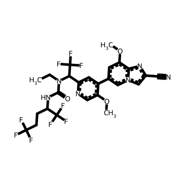 CCN(C(=O)NC(CCC(F)(F)F)C(F)(F)F)C(c1cc(-c2cc(OC)c3nc(C#N)cn3c2)c(OC)cn1)C(F)(F)F